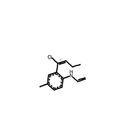 C=CNc1ccc(C)cc1/C(Cl)=C\CC